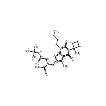 COCCn1c(=O)n(C2(C)CCC2)c(=O)c2c(C)c(CN(NC(=O)OC(C)(C)C)C(N)=O)sc21